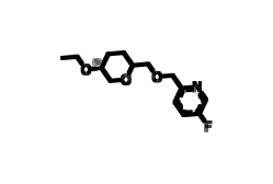 CCO[C@H]1CCC(COCc2ccc(F)cn2)OC1